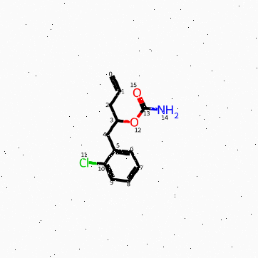 C=CCC(Cc1ccccc1Cl)OC(N)=O